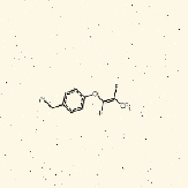 FC(Oc1ccc(CCl)cc1)=C(F)C(F)(F)F